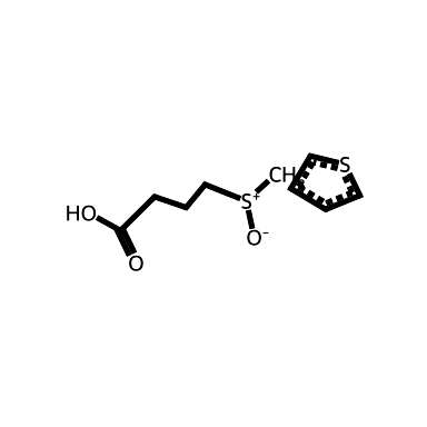 C[S+]([O-])CCCC(=O)O.c1ccsc1